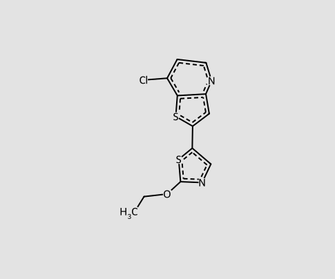 CCOc1ncc(-c2cc3nccc(Cl)c3s2)s1